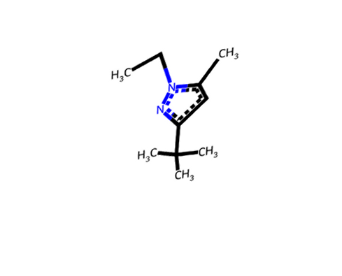 CCn1nc(C(C)(C)C)cc1C